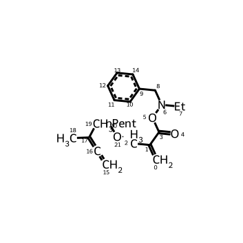 C=C(C)C(=O)ON(CC)Cc1ccccc1.C=C=C(C)C.CCCCC[O]